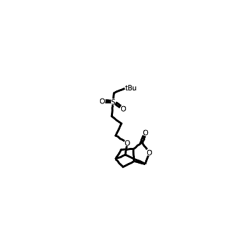 CC(C)(C)CS(=O)(=O)CCCOC1C2CC3C(=O)OC1C3C2